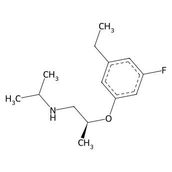 CCc1cc(F)cc(O[C@@H](C)CNC(C)C)c1